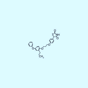 CCCc1cc(Oc2ccccc2)ccc1OCCCOc1ccc(C2SC(=O)NC2=O)cc1